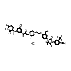 CCc1cc(N2C(=S)N(c3ccc(C#N)c(C(F)(F)F)c3)C(=O)C2(C)C)ccc1OCCN1CCN(CC(=O)Nc2cc(Cl)cc(NC3CCC(=O)NC3=O)c2)[C@H](C)C1.Cl